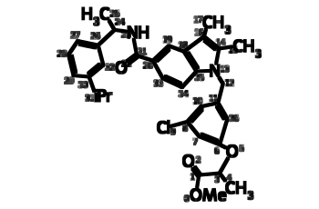 COC(=O)C(C)Oc1cc(Cl)cc(Cn2c(C)c(C)c3cc(C(=O)NC(C)c4cccc(C(C)C)c4)ccc32)c1